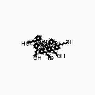 OCCCCc1ccccc1Oc1cccc(Op2npn(Oc3ccccc3CCCCO)p(Oc3ccccc3CCCCO)n2Oc2ccccc2CCCCO)c1Oc1ccccc1CCCCO